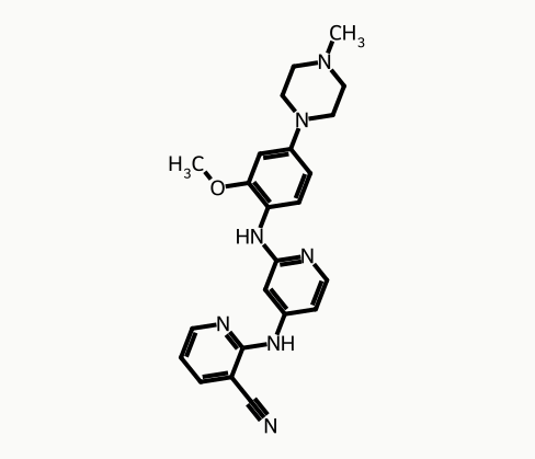 COc1cc(N2CCN(C)CC2)ccc1Nc1cc(Nc2ncccc2C#N)ccn1